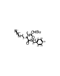 CN(C(=O)OC(C)(C)C)[C@@H](CCN=[N+]=[N-])C(=O)NCc1ccccc1